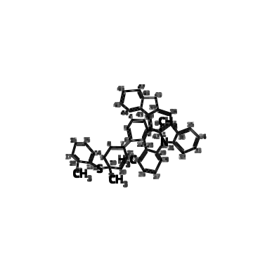 CCc1cccc(C2=CCC(C)(Sc3ccccc3C)C=C2)c1-c1c(C)cccc1-n1c2ccccc2c2cc3c(cc21)-c1ccccc1C3